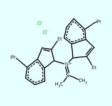 CCC1=Cc2c(C(C)C)cccc2[CH]1[Ti+2]([CH]1C(CC)=Cc2c(C(C)C)cccc21)=[Si](C)C.[Cl-].[Cl-]